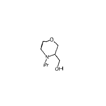 CC(C)N1CCOCC1CO